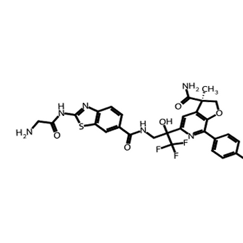 C[C@]1(C(N)=O)COc2c1cc(C(O)(CNC(=O)c1ccc3nc(NC(=O)CN)sc3c1)C(F)(F)F)nc2-c1ccc(F)cc1